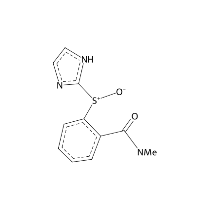 CNC(=O)c1ccccc1[S+]([O-])c1ncc[nH]1